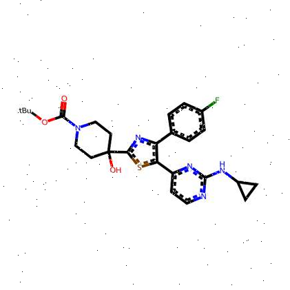 CC(C)(C)OC(=O)N1CCC(O)(c2nc(-c3ccc(F)cc3)c(-c3ccnc(NC4CC4)n3)s2)CC1